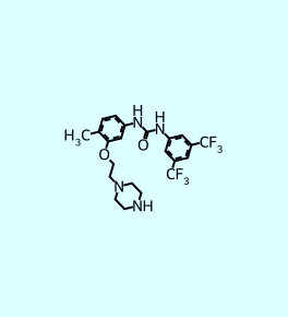 Cc1ccc(NC(=O)Nc2cc(C(F)(F)F)cc(C(F)(F)F)c2)cc1OCCN1CCNCC1